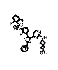 O=S1(=O)CC2(CC(Nc3nccc(-c4sc(N5CC6CCC5CC6)nc4-c4cccc(NS(=O)(=O)c5c(F)cccc5F)c4F)n3)C2)C1